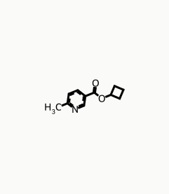 Cc1ccc(C(=O)OC2CCC2)cn1